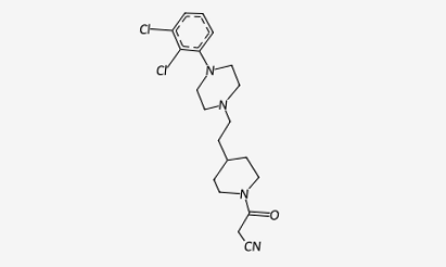 N#CCC(=O)N1CCC(CCN2CCN(c3cccc(Cl)c3Cl)CC2)CC1